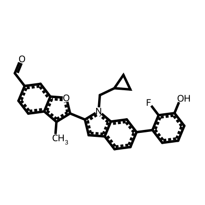 Cc1c(-c2cc3ccc(-c4cccc(O)c4F)cc3n2CC2CC2)oc2cc(C=O)ccc12